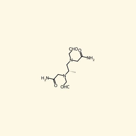 C[C@@H](CN(CC=O)CC(N)=O)N(CC=O)CC(N)=O